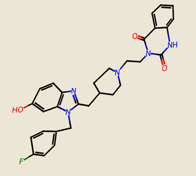 O=c1[nH]c2ccccc2c(=O)n1CCN1CCC(Cc2nc3ccc(O)cc3n2Cc2ccc(F)cc2)CC1